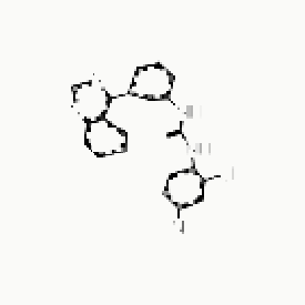 Nc1ccc(NC(=S)Nc2cccc(-c3ncnc4ccccc34)c2)c(Cl)c1